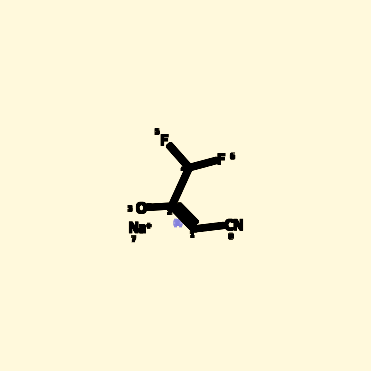 N#C/C=C(/[O-])C(F)F.[Na+]